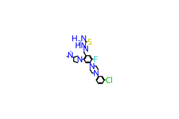 CN(C)[C@H]1CCN(c2cc(N3CCN(c4cccc(Cl)c4)CC3)c(F)cc2C=NNC(N)=S)C1